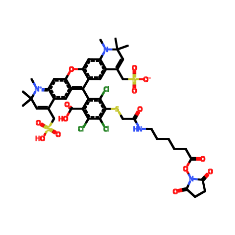 CN1c2cc3c(cc2C(CS(=O)(=O)[O-])=CC1(C)C)C(c1c(Cl)c(SCC(=O)NCCCCCC(=O)ON2C(=O)CCC2=O)c(Cl)c(Cl)c1C(=O)O)=c1cc2c(cc1O3)=[N+](C)C(C)(C)C=C2CS(=O)(=O)O